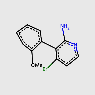 COc1ccccc1-c1c(Br)ccnc1N